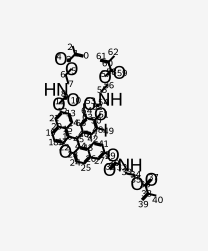 C=C(C)C(=O)OCCNC(=O)Oc1ccc2c3c(ccc2c1)Oc1ccc2cc(OC(=O)NCCOC(=O)C(=C)C)ccc2c1C3c1cc(I)c(OC(=O)NCCOC(=O)C(=C)C)c(I)c1